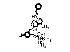 CC1=C(CC(=O)NCc2cc(Cl)ccc2COC(=O)NC(C)(C)C)C(=O)N(NCCc2ccccc2)CC1